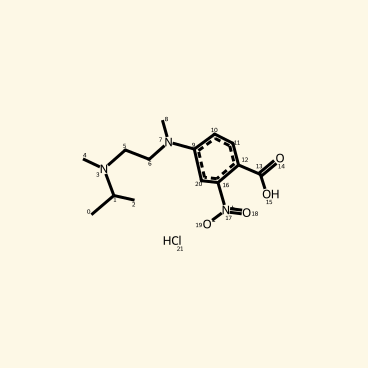 CC(C)N(C)CCN(C)c1ccc(C(=O)O)c([N+](=O)[O-])c1.Cl